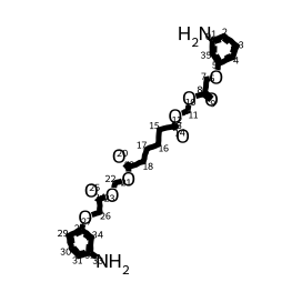 Nc1cccc(OCC(=O)OCOC(=O)CCCCC(=O)OCOC(=O)COc2cccc(N)c2)c1